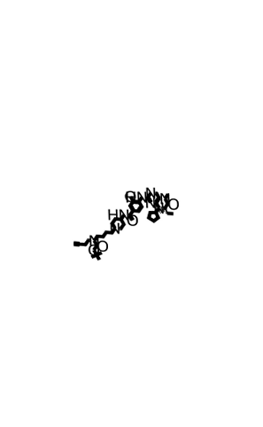 C#CCCN(CCCCN1CCC(NC(=O)c2ccc(Nc3ncc4c(n3)N(C3CCCC3)[C@H](CC)C(=O)N4C)c(OC)c2)CC1)C(=O)OC(C)(C)C